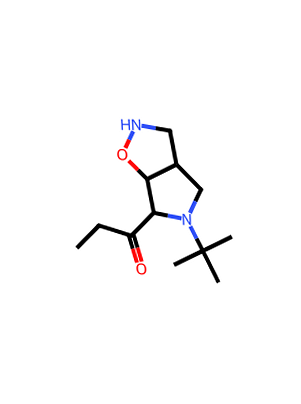 CCC(=O)C1C2ONCC2CN1C(C)(C)C